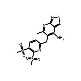 Cc1nc2nonc2c(N)c1Cc1ccc(S(C)(=O)=O)c(S(C)(=O)=O)n1